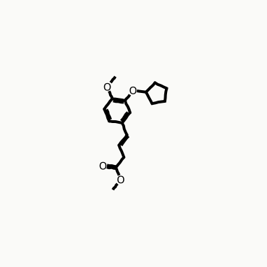 COC(=O)C/C=C/c1ccc(OC)c(OC2CCCC2)c1